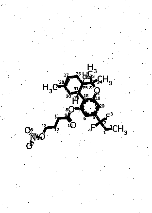 CCC(F)(F)c1cc(OC(=O)CCCO[N+](=O)[O-])c2c(c1)OC(C)(C)[C@@H]1CC=C(C)C[C@@H]21